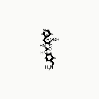 NCc1ccc(NC(=O)NC(Cc2cccnc2)C(=O)NO)cc1